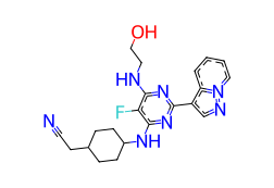 N#CCC1CCC(Nc2nc(-c3cnn4ccccc34)nc(NCCO)c2F)CC1